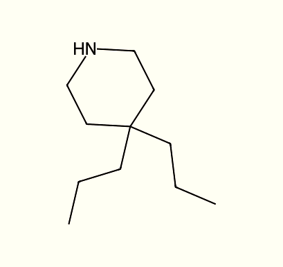 CCCC1(CCC)CCNCC1